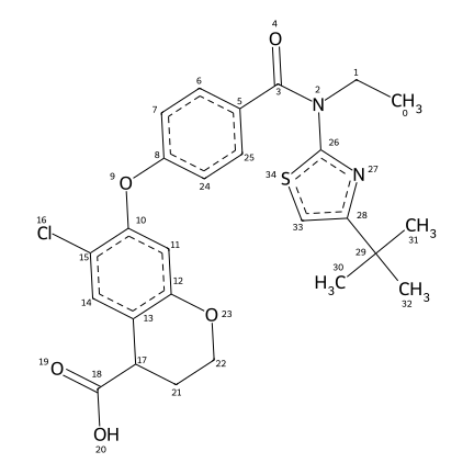 CCN(C(=O)c1ccc(Oc2cc3c(cc2Cl)C(C(=O)O)CCO3)cc1)c1nc(C(C)(C)C)cs1